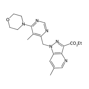 CCOC(=O)c1nn(Cc2ncnc(N3CCOCC3)c2C)c2cc(C)cnc12